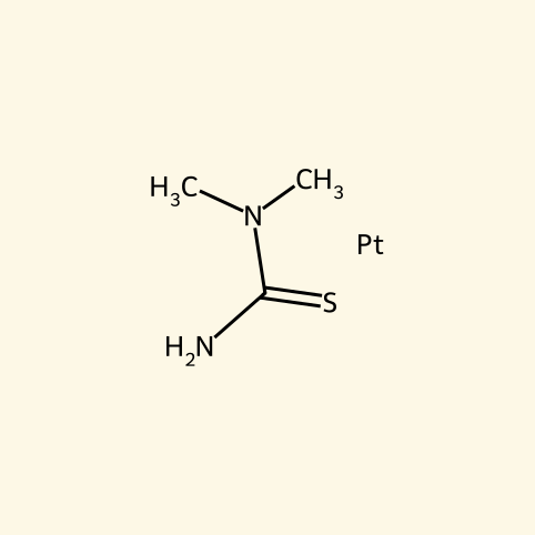 CN(C)C(N)=S.[Pt]